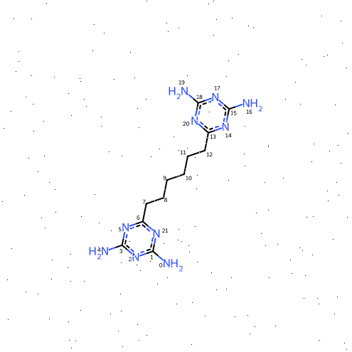 Nc1nc(N)nc(CCCCCCc2nc(N)nc(N)n2)n1